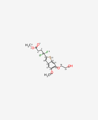 COC(=O)CCC(F)(F)c1cc2cc(OC)c(OCCO)cc2s1